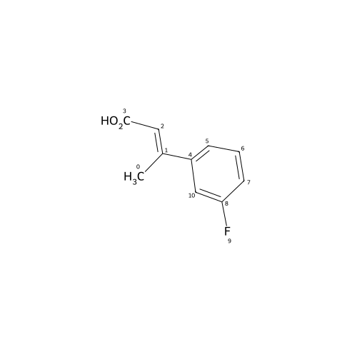 C/C(=C\C(=O)O)c1cccc(F)c1